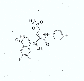 C[C@@H](c1c[nH]c(=O)c2cc(F)c(F)cc12)N(CCS(N)(=O)=O)C(=O)Nc1ccc(F)cc1